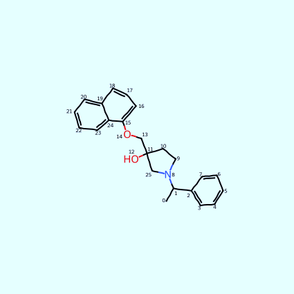 CC(c1ccccc1)N1CCC(O)(COc2cccc3ccccc23)C1